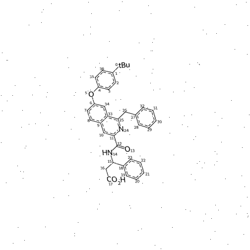 CC(C)(C)c1ccc(Oc2ccc3cc(C(=O)NC(CC(=O)O)c4ccccc4)nc(Cc4ccccc4)c3c2)cc1